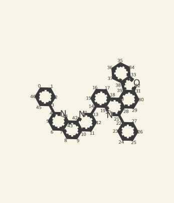 c1ccc(-c2ccc3ccc4ccc(-c5cccc6c5nc(-c5ccccc5)c5ccc7oc8ccccc8c7c56)nc4c3n2)cc1